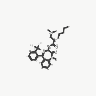 CCCCC[C@@H](CN(C)C)C(=O)NC1N=C(c2ccccc2C(F)(F)F)c2ccccc2N(C)C1=O